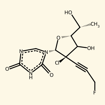 C[C@@H](O)[C@H]1O[C@@H](n2cnc(=O)[nH]c2=O)[C@@](Cl)(C#CCF)C1O